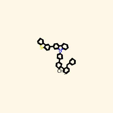 Cc1ccc(-c2ccc(-n3c4ccccc4c4ccc(-c5ccc6sc7ccccc7c6c5)cc43)cc2)cc1-c1ccccc1Cc1ccccc1